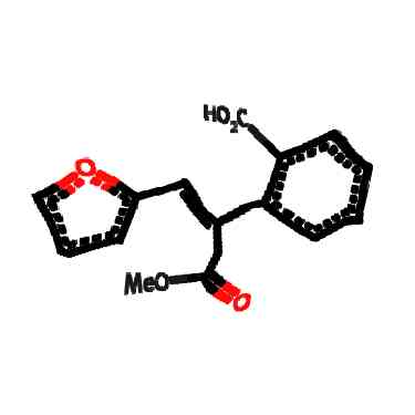 COC(=O)C(=Cc1ccco1)c1ccccc1C(=O)O